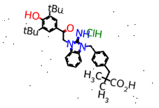 CC(C)(Cc1ccc(Cn2c(=N)n(CC(=O)c3cc(C(C)(C)C)c(O)c(C(C)(C)C)c3)c3ccccc32)cc1)C(=O)O.Cl